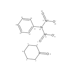 O=C1CCCCC1.O=[N+]([O-])N(c1ccccc1)[N+](=O)[O-]